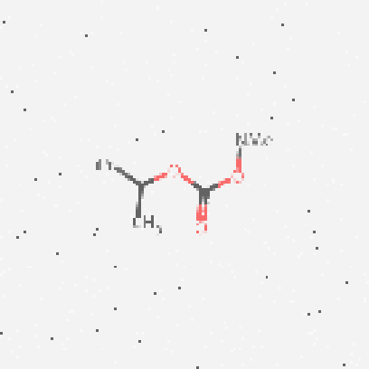 CNOC(=O)OC(C)C(C)C